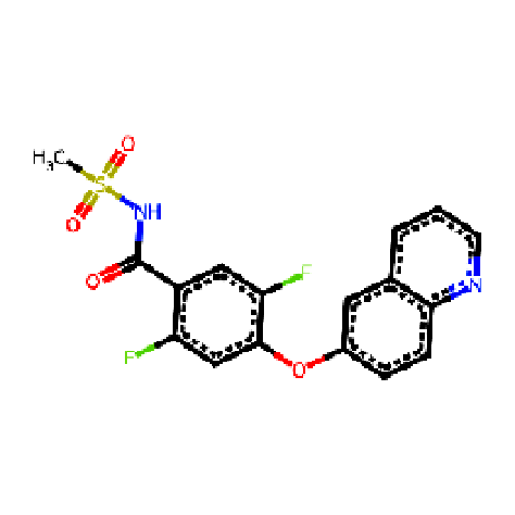 CS(=O)(=O)NC(=O)c1cc(F)c(Oc2ccc3ncccc3c2)cc1F